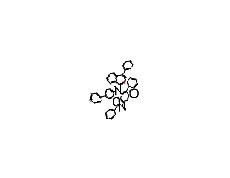 c1ccc(-c2ccc(N(c3ccc(-c4ccccc4)c4ccccc34)c3c4oc(-c5ccccc5)nc4cc4oc5ccccc5c34)cc2)cc1